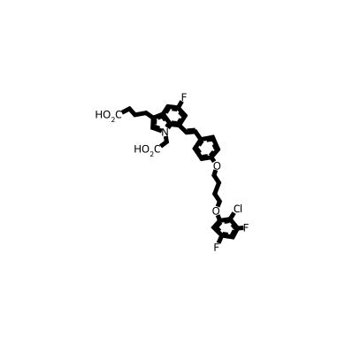 O=C(O)CCCc1cn(CC(=O)O)c2c(/C=C/c3ccc(OCCCCOc4cc(F)cc(F)c4Cl)cc3)cc(F)cc12